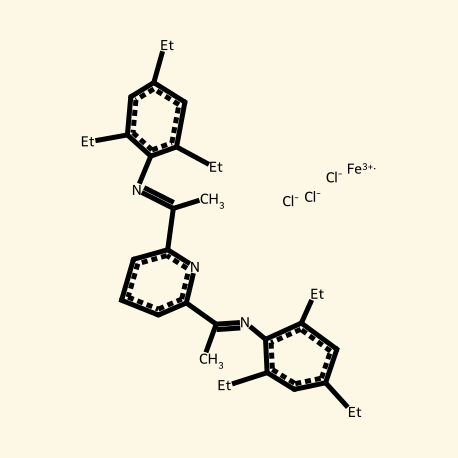 CCc1cc(CC)c(N=C(C)c2cccc(C(C)=Nc3c(CC)cc(CC)cc3CC)n2)c(CC)c1.[Cl-].[Cl-].[Cl-].[Fe+3]